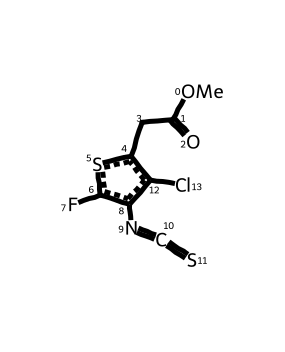 COC(=O)Cc1sc(F)c(N=C=S)c1Cl